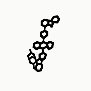 CC1CC2CC(C)C3(c4ccccc4-c4ccc(-c5c6ccccc6c(-c6ccc(-c7cccc8c7oc7ccccc78)cc6)c6ccccc56)cc43)C(C1)C2